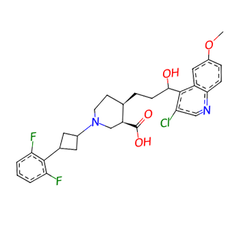 COc1ccc2ncc(Cl)c(C(O)CC[C@@H]3CCN(C4CC(c5c(F)cccc5F)C4)C[C@@H]3C(=O)O)c2c1